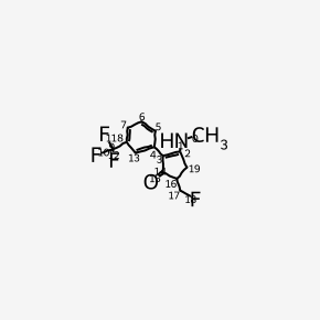 CNC1=C(c2cccc(C(F)(F)F)c2)C(=O)C(CF)C1